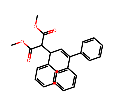 COC(=O)C(C(=O)OC)C(C=C(c1ccccc1)c1ccccc1)c1ccccc1